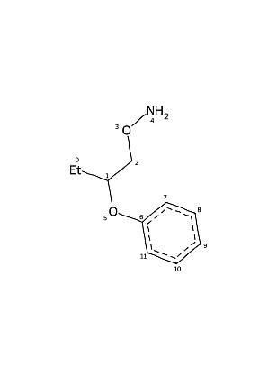 CCC(CON)Oc1ccccc1